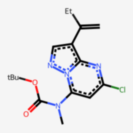 C=C(CC)c1cnn2c(N(C)C(=O)OC(C)(C)C)cc(Cl)nc12